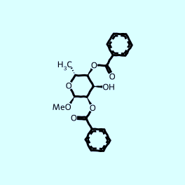 CO[C@H]1O[C@H](C)[C@@H](OC(=O)c2ccccc2)[C@@H](O)[C@H]1OC(=O)c1ccccc1